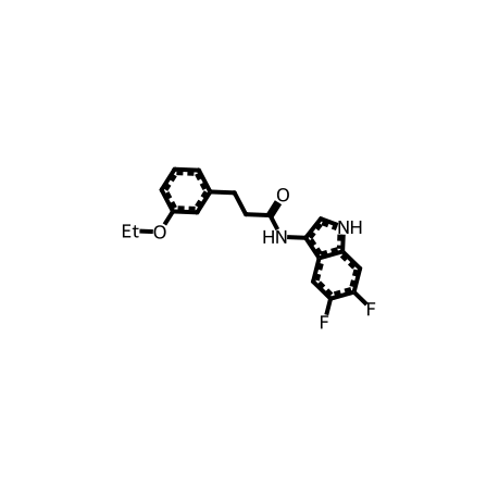 CCOc1cccc(CCC(=O)Nc2c[nH]c3cc(F)c(F)cc23)c1